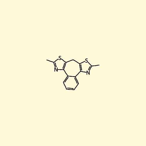 Cc1nc2c(s1)Cc1sc(C)nc1-c1ccccc1-2